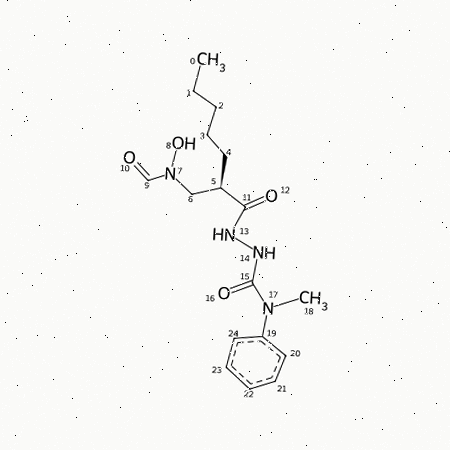 CCCCC[C@H](CN(O)C=O)C(=O)NNC(=O)N(C)c1ccccc1